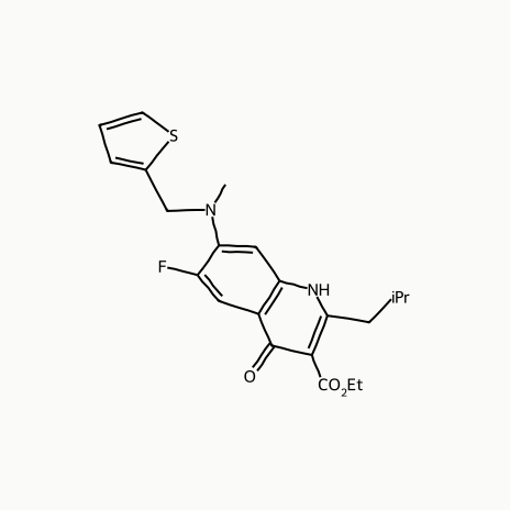 CCOC(=O)c1c(CC(C)C)[nH]c2cc(N(C)Cc3cccs3)c(F)cc2c1=O